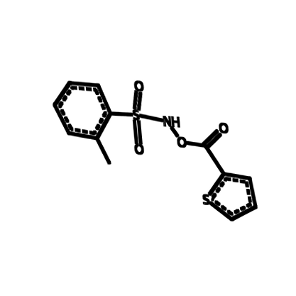 Cc1ccccc1S(=O)(=O)NOC(=O)c1cccs1